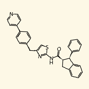 O=C(Nc1nc(Cc2ccc(-c3ccncc3)cc2)cs1)[C@@H]1Cc2ccccc2[C@@H]1c1ccccc1